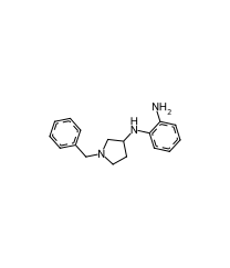 Nc1ccccc1NC1CCN(Cc2ccccc2)C1